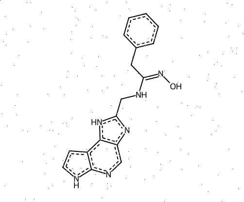 O/N=C(/Cc1ccccc1)NCc1nc2cnc3[nH]ccc3c2[nH]1